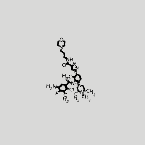 Cc1c(F)c(N)cc(C(=O)Nc2c(N3C[C@@H](C)N(C)[C@@H](C)C3)ccc(-n3cc(C(=O)NCCCN4CCOCC4)nn3)c2C)c1Cl